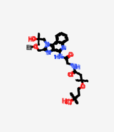 CCOCc1nc2c(NC(=O)CNC(=O)CC(C)(C)OCCC(C)(C)O)nc3ccccc3c2n1CC(C)(C)O